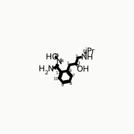 CC(C)NCC(O)Cc1ccccc1C(N)=NO